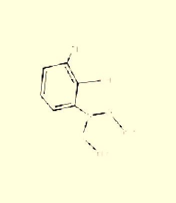 CCCON(OCCC)c1cccc(O)c1C=O